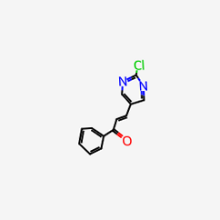 O=C(C=Cc1cnc(Cl)nc1)c1ccccc1